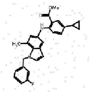 COC(=O)c1cc(C2CC2)ccc1Nc1cc(C)c2c(ccn2Cc2cccc(F)c2)c1